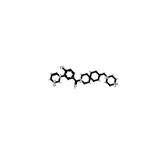 O=C(c1ccc(Cl)c(N2C=CCNC2)c1)N1CCC2(CCC(CN3CCNCC3)CC2)CC1